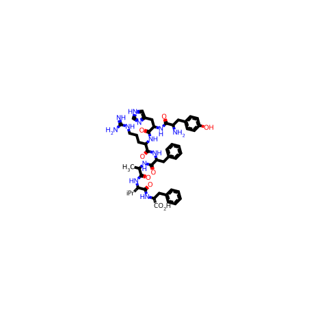 CC(NC(=O)C(Cc1ccccc1)NC(=O)C(CCCNC(=N)N)NC(=O)C(Cc1c[nH]cn1)NC(=O)C(N)Cc1ccc(O)cc1)C(=O)NC(C(=O)NC(Cc1ccccc1)C(=O)O)C(C)C